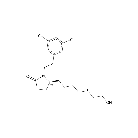 O=C1CC[C@H](CCCCSCCO)N1CCc1cc(Cl)cc(Cl)c1